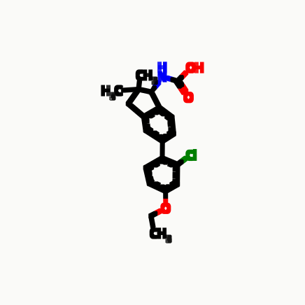 CCOc1ccc(-c2ccc3c(c2)CC(C)(C)[C@H]3NC(=O)O)c(Cl)c1